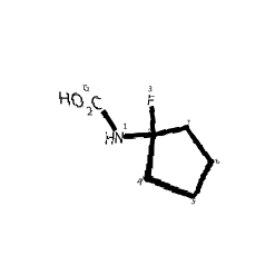 O=C(O)NC1(F)CCCC1